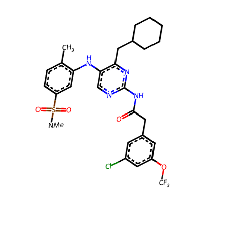 CNS(=O)(=O)c1ccc(C)c(Nc2cnc(NC(=O)Cc3cc(Cl)cc(OC(F)(F)F)c3)nc2CC2CCCCC2)c1